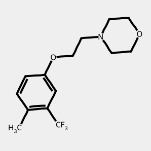 Cc1ccc(OCCN2CCOCC2)cc1C(F)(F)F